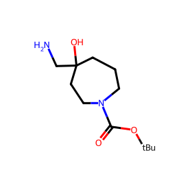 CC(C)(C)OC(=O)N1CCCC(O)(CN)CC1